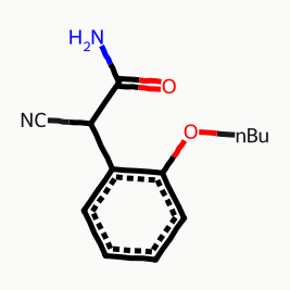 CCCCOc1ccccc1C(C#N)C(N)=O